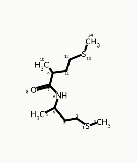 CSCCC(C)NC(=O)C(C)CCSC